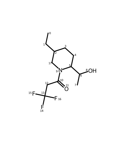 CCC1CCC(C(C)O)N(C(=O)CC(F)(F)F)C1